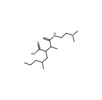 C=C(NCCN(C)C)C(C)C(CC(C)CCC)C(=O)O